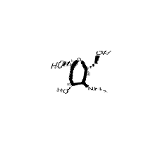 NC1[C@@H](CO)O[C@@H](O)[C@H]1O